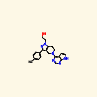 N#Cc1ccc(-c2nn(CCO)c3c2CN(c2ncnc4[nH]ccc24)CC3)cc1